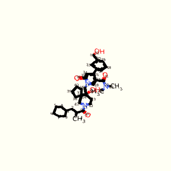 CC(CC1CCCCC1)C(=O)N1CCC(O)(Cn2cc(C(=O)N(C)C)c(-c3cccc(CO)c3)cc2=O)C2(CCCC2)C1